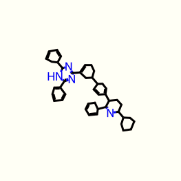 C1=CCC(C2=NC(C3CCCCC3)CCC2C2=CCC(C3CCC=C(C4=NC(C5C=CC=CC5)NC(c5ccccc5)=N4)C3)C=C2)C=C1